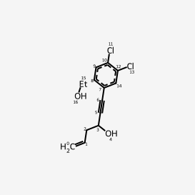 C=CCC(O)C#Cc1ccc(Cl)c(Cl)c1.CCO